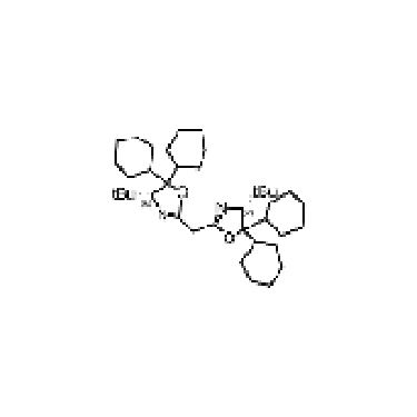 CC(C)(C)[C@H]1N=C(CC2=N[C@H](C(C)(C)C)C(C3CCCCC3)(C3CCCCC3)O2)OC1(C1CCCCC1)C1CCCCC1